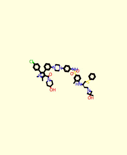 Cc1cc(S(=O)(=O)Nc2ccc(N3CCN(c4cccc(-c5c(C(=O)N6CCC(O)CC6)c(C)n(C)c5-c5ccc(Cl)cc5)c4)CC3)cc2)ccc1N[C@H](CCN1CC(C)(O)C1)CSc1ccccc1